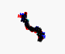 Cn1nc(N2CCC(=O)NC2O)c2cc(F)c(N3CCC(O)(CC(=O)N4CCC5(CC4)C[C@@H](n4cnc6ccc(Oc7c(F)ccc(NS(=O)(=O)N8CCCC8)c7C#N)cc6c4=O)CO5)CC3)cc21